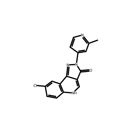 Cc1cc(-n2nc3c4cc(Cl)ccc4[nH]cc-3c2=O)ccn1